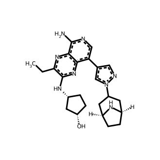 CCc1nc2c(N)ncc(-c3cnn(C4C[C@H]5CC[C@@H](C4)N5)c3)c2nc1N[C@@H]1CC[C@H](O)C1